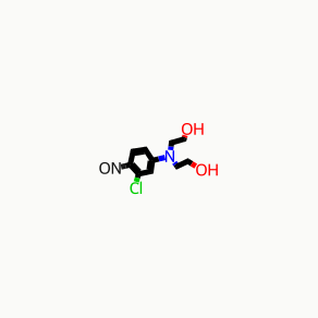 O=Nc1ccc(N(CCO)CCO)cc1Cl